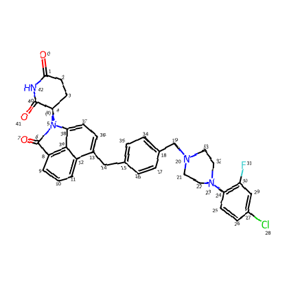 O=C1CC[C@@H](N2C(=O)c3cccc4c(Cc5ccc(CN6CCN(c7ccc(Cl)cc7F)CC6)cc5)ccc2c34)C(=O)N1